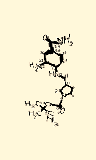 CC(C)(C)OC(=O)N1CC[C@H](CNc2ccc(C(N)=O)cc2N)C1